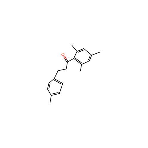 Cc1ccc(CCC(=O)c2c(C)cc(C)cc2C)cc1